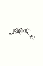 CN(C)CCCCON(C)CC[C@H]1CC[C@]2(O)[C@@H]3CC[C@@H]4C[C@@H](O)CC[C@]4(C)[C@H]3CC[C@]12C